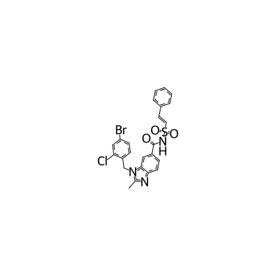 Cc1nc2ccc(C(=O)NS(=O)(=O)C=Cc3ccccc3)cc2n1Cc1ccc(Br)cc1Cl